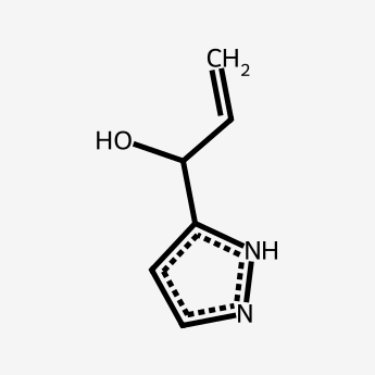 C=CC(O)c1ccn[nH]1